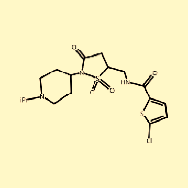 CC(C)N1CCC(N2C(=O)CC(CNC(=O)c3ccc(Cl)s3)S2(=O)=O)CC1